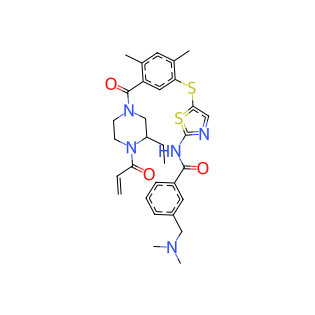 C=CC(=O)N1CCN(C(=O)c2cc(Sc3cnc(NC(=O)c4cccc(CN(C)C)c4)s3)c(C)cc2C)CC1CC